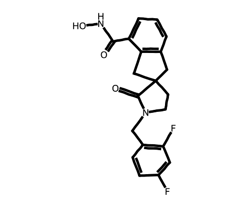 O=C(NO)c1cccc2c1CC1(CCN(Cc3ccc(F)cc3F)C1=O)C2